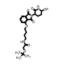 CC(C)(C)OCC(=O)NCCCCOc1cccc2c1C(=O)N(C1CCC(O)NC1=O)C2=O